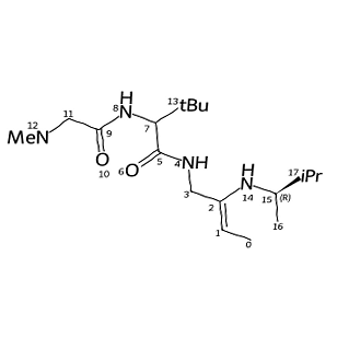 CC=C(CNC(=O)C(NC(=O)CNC)C(C)(C)C)N[C@H](C)C(C)C